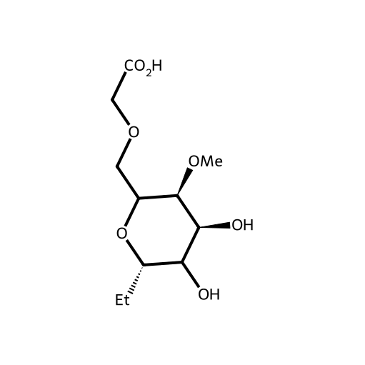 CC[C@@H]1OC(COCC(=O)O)[C@@H](OC)[C@@H](O)C1O